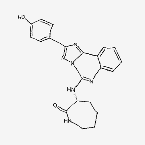 O=C1NCCCC[C@H]1Nc1nc2ccccc2c2nc(-c3ccc(O)cc3)nn12